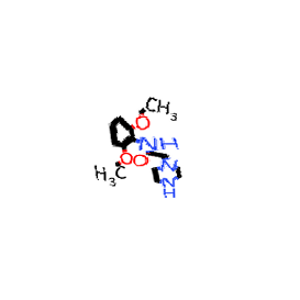 CCOc1cccc(OCC)c1NC(=O)CN1CCNCC1